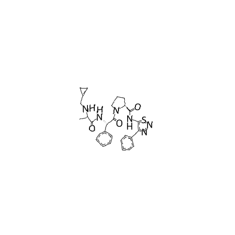 CC(NCC1CC1)C(=O)N[C@H](C(=O)N1CCC[C@H]1C(=O)Nc1snnc1-c1ccccc1)c1ccccc1